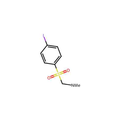 CNCS(=O)(=O)c1ccc(I)cc1